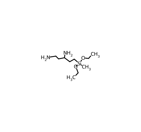 CCO[Si](C)(CCC(N)CCN)OCC